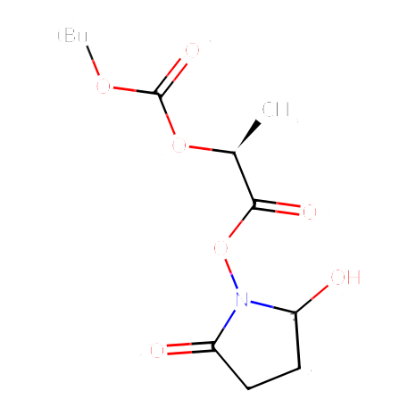 C[C@H](OC(=O)OC(C)(C)C)C(=O)ON1C(=O)CCC1O